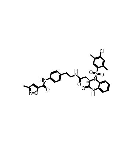 Cc1cc(C(=O)Nc2ccc(CCNC(=O)C[C@@H]3C(=O)Nc4ccccc4N3S(=O)(=O)c3cc(C)c(Cl)cc3C)cc2)on1